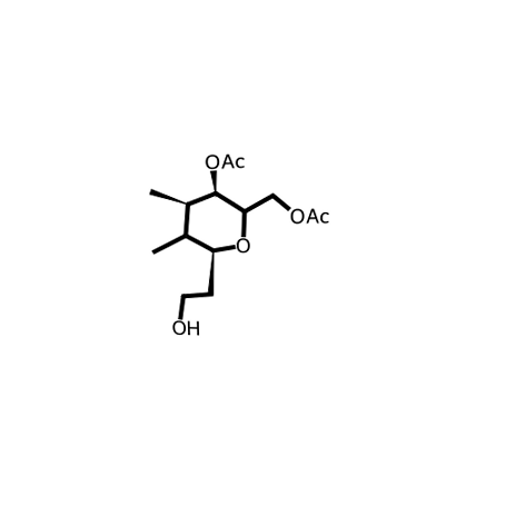 CC(=O)OCC1O[C@@H](CCO)C(C)[C@@H](C)[C@H]1OC(C)=O